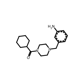 Nc1cccc(CN2CCN(C(=O)C3CCCCC3)CC2)c1